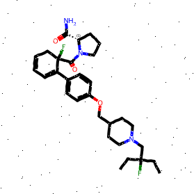 CCC(F)(CC)CN1CCC(COc2ccc(C3=CC=CCC3(F)C(=O)N3CCC[C@H]3C(N)=O)cc2)CC1